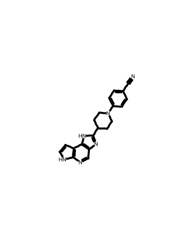 N#Cc1ccc(N2CCC(c3nc4cnc5[nH]ccc5c4[nH]3)CC2)cc1